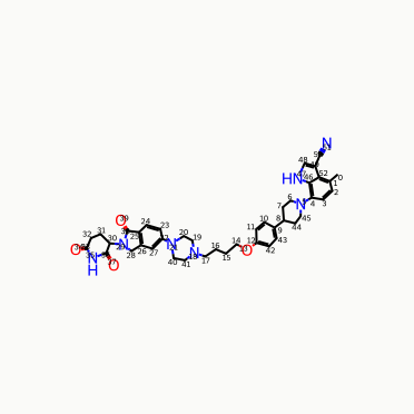 Cc1ccc(N2CCC(c3ccc(OCCCCN4CCN(c5ccc6c(c5)CN(C5CCC(=O)NC5=O)C6=O)CC4)cc3)CC2)c2[nH]cc(C#N)c12